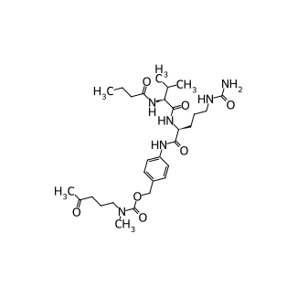 CCCC(=O)N[C@H](C(=O)N[C@@H](CCCNC(N)=O)C(=O)Nc1ccc(COC(=O)N(C)CCCC(C)=O)cc1)C(C)C